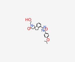 CC(C)Oc1ccc(-c2nc(-c3cccc4c3CCC43CC(=O)N(CCO)C3)no2)cc1